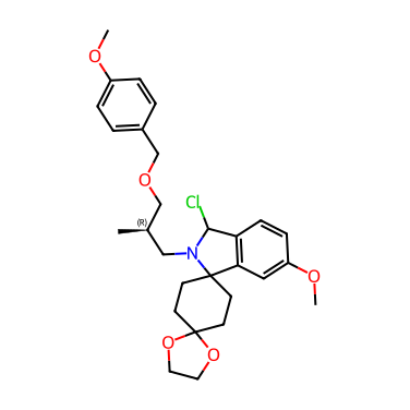 COc1ccc(COC[C@H](C)CN2C(Cl)c3ccc(OC)cc3C23CCC2(CC3)OCCO2)cc1